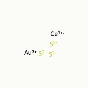 [Au+3].[Ce+3].[S-2].[S-2].[S-2]